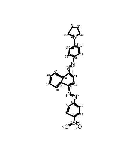 O=[SH](=O)c1ccc(N=Nc2ccc(N=Nc3ccc(N4CCCC4)cc3)c3ccccc23)cc1